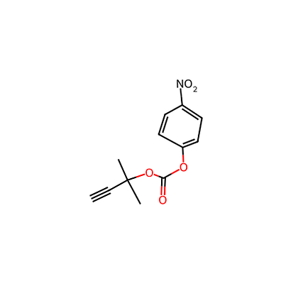 C#CC(C)(C)OC(=O)Oc1ccc([N+](=O)[O-])cc1